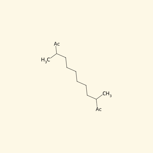 CC(=O)C(C)CCCCCCC(C)C(C)=O